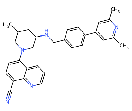 Cc1cc(-c2ccc(CN[C@@H]3CC(C)CN(c4ccc(C#N)c5ncccc45)C3)cc2)cc(C)n1